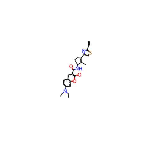 C#Cc1nc(C2=C(C)C(NC(=O)c3cc4ccc(N(CC)CC)cc4oc3=O)CC2)cs1